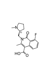 Cc1c(C(=O)O)c2cccc(F)c2c(=O)n1C[C@@H]1CCCN1C